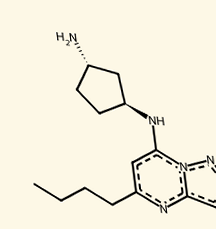 CCCCc1cc(N[C@H]2CC[C@H](N)C2)n2nccc2n1